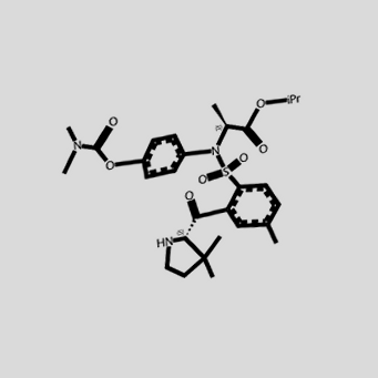 Cc1ccc(S(=O)(=O)N(c2ccc(OC(=O)N(C)C)cc2)[C@@H](C)C(=O)OC(C)C)c(C(=O)[C@H]2NCCC2(C)C)c1